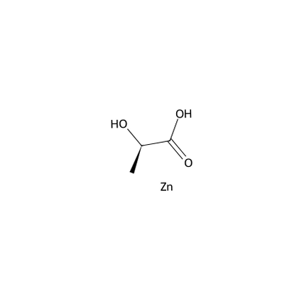 C[C@@H](O)C(=O)O.[Zn]